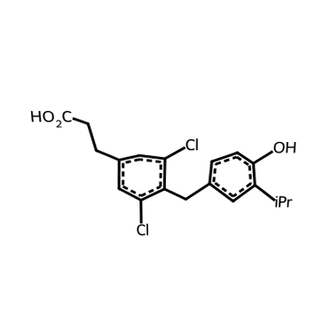 CC(C)c1cc(Cc2c(Cl)cc(CCC(=O)O)cc2Cl)ccc1O